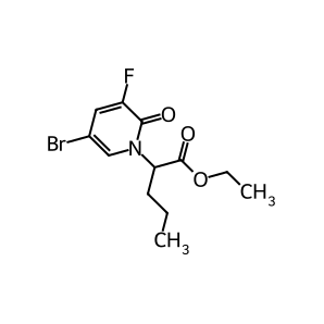 CCCC(C(=O)OCC)n1cc(Br)cc(F)c1=O